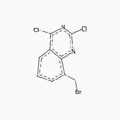 Clc1nc(Cl)c2cccc(CBr)c2n1